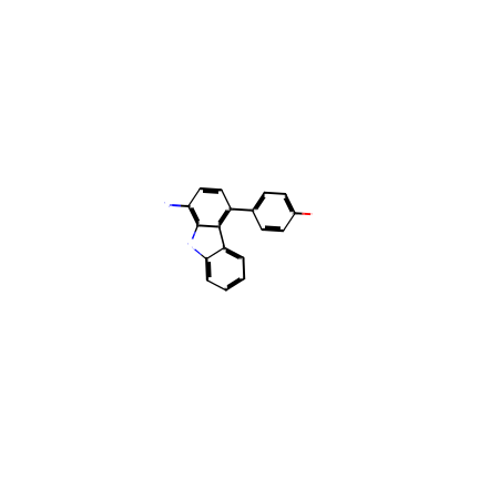 Nc1ccc(-c2ccc(O)cc2)c2c1[nH]c1ccccc12